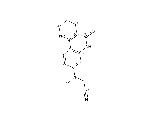 CN(CC#N)c1ccc2c3c(c(=O)[nH]c2c1)CCCN3